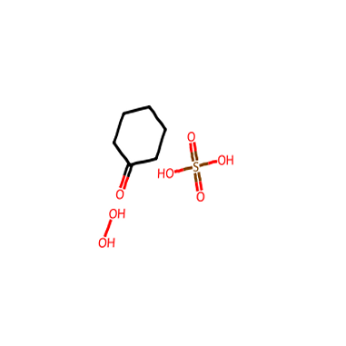 O=C1CCCCC1.O=S(=O)(O)O.OO